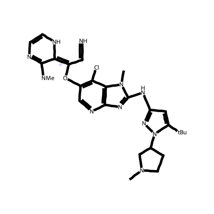 CNC1=NC=CN/C1=C(\C=N)Oc1cnc2nc(Nc3cc(C(C)(C)C)n(C4CCN(C)C4)n3)n(C)c2c1Cl